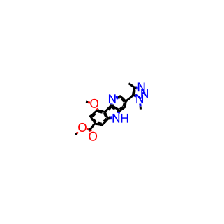 COC(=O)c1cc(OC)c2c(c1)[nH]c1cc(-c3c(C)nnn3C)cnc12